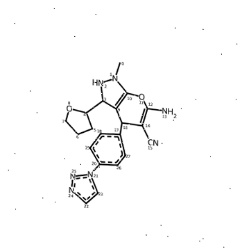 CN1NC(C2CCCO2)C2=C1OC(N)=C(C#N)C2c1ccc(-n2ccnn2)cc1